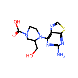 Nc1nc(N2CCN(C(=O)O)CC2CO)c2ncsc2n1